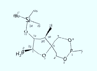 B[C@@H]1OC2(COP(C)OC2)[C@H](C)C1O[Si](C)(C)C(C)(C)C